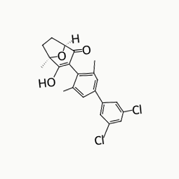 Cc1cc(-c2cc(Cl)cc(Cl)c2)cc(C)c1C1=C(O)[C@@]2(C)CC[C@H](O2)C1=O